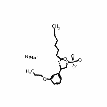 CCCCCCCC(=O)NC(COP(=O)([O-])[O-])c1cccc(OCCC)c1.[Na+].[Na+]